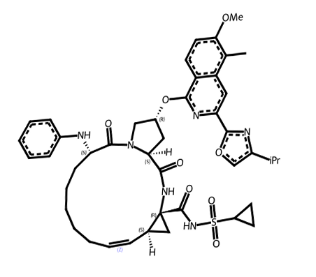 COc1ccc2c(O[C@@H]3C[C@H]4C(=O)N[C@]5(C(=O)NS(=O)(=O)C6CC6)C[C@H]5/C=C\CCCCC[C@H](Nc5ccccc5)C(=O)N4C3)nc(-c3nc(C(C)C)co3)cc2c1C